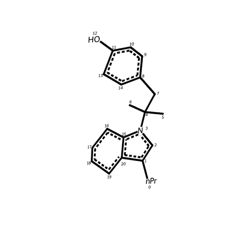 CCCc1cn(C(C)(C)Cc2ccc(O)cc2)c2ccccc12